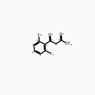 O=C(CC(=O)C(F)(F)F)c1c(F)cccc1F